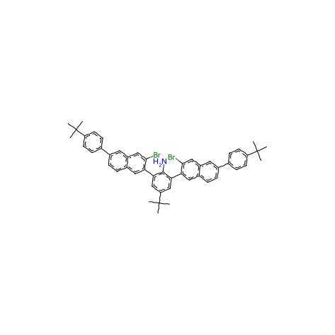 CC(C)(C)c1ccc(-c2ccc3cc(-c4cc(C(C)(C)C)cc(-c5cc6ccc(-c7ccc(C(C)(C)C)cc7)cc6cc5Br)c4N)c(Br)cc3c2)cc1